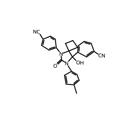 Cc1ccc(N2C(=O)N(c3ccc(C#N)cc3)C3(CCC3)C2(O)c2cccc(C#N)c2)cc1